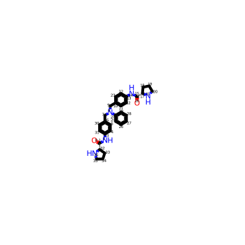 O=C(Nc1ccc(CN(Cc2ccc(NC(=O)[C@@H]3CCCN3)cc2)c2ccccc2)cc1)[C@@H]1CCCN1